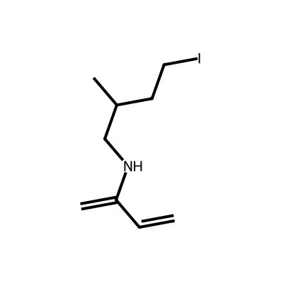 C=CC(=C)NCC(C)CCI